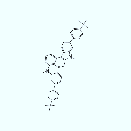 CN1c2cc(-c3ccc(C(C)(C)C)cc3)ccc2-c2cc3c(c4cccc1c24)c1ccc(-c2ccc(C(C)(C)C)cc2)cc1n3C